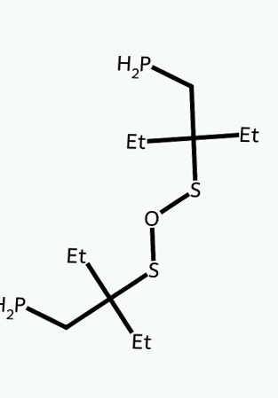 CCC(CC)(CP)SOSC(CC)(CC)CP